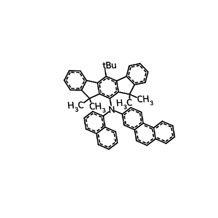 CC(C)(C)c1c2c(c(N(c3ccc4c(ccc5ccccc54)c3)c3cccc4ccccc34)c3c1-c1ccccc1C3(C)C)C(C)(C)c1ccccc1-2